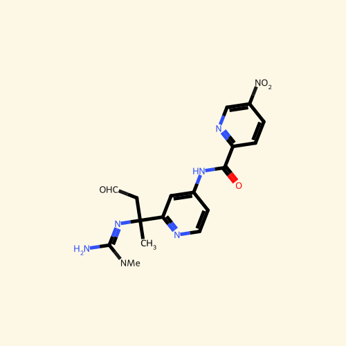 CN/C(N)=N\C(C)(CC=O)c1cc(NC(=O)c2ccc([N+](=O)[O-])cn2)ccn1